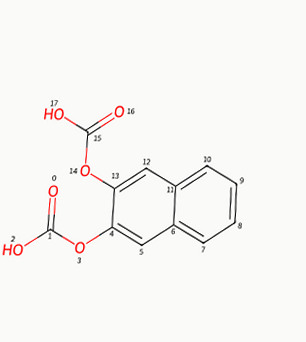 O=C(O)Oc1cc2ccccc2cc1OC(=O)O